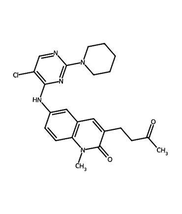 CC(=O)CCc1cc2cc(Nc3nc(N4CCCCC4)ncc3Cl)ccc2n(C)c1=O